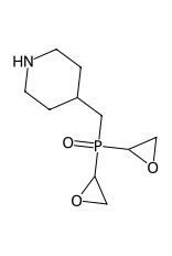 O=P(CC1CCNCC1)(C1CO1)C1CO1